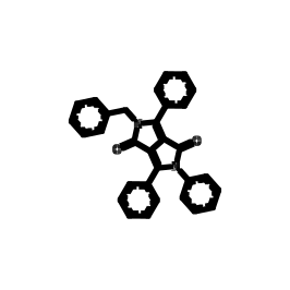 O=C1C2=C(c3ccccc3)N(c3ccccc3)C(=O)C2=C(c2ccccc2)N1Cc1ccccc1